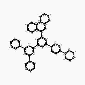 c1ccc(-c2nc(-c3ccccc3)nc(-c3cc(-c4ccc(-c5ccccn5)cn4)cc(-c4cc5ccccc5c5ccccc45)c3)n2)cc1